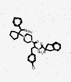 CC(=O)NC(c1ccccc1)C1(N2CCN(C(=O)C(Cc3ccc(Cl)cc3)NC(=O)C3(N)Cc4ccccc4C3)CC2)CCCCC1